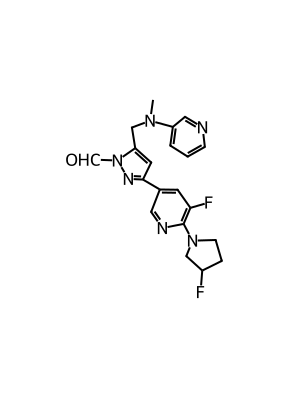 CN(Cc1cc(-c2cnc(N3CCC(F)C3)c(F)c2)nn1C=O)c1cccnc1